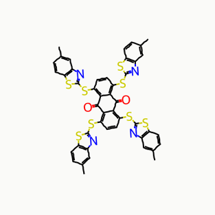 Cc1ccc2sc(Sc3ccc(Sc4nc5cc(C)ccc5s4)c4c3C(=O)c3c(Sc5nc6cc(C)ccc6s5)ccc(Sc5nc6cc(C)ccc6s5)c3C4=O)nc2c1